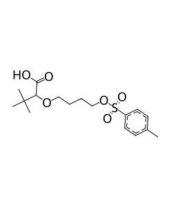 Cc1ccc(S(=O)(=O)OCCCCOC(C(=O)O)C(C)(C)C)cc1